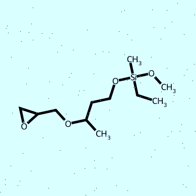 CC[Si](C)(OC)OCCC(C)OCC1CO1